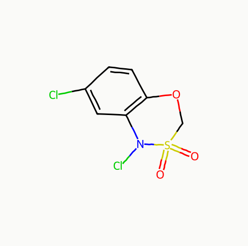 O=S1(=O)COc2ccc(Cl)cc2N1Cl